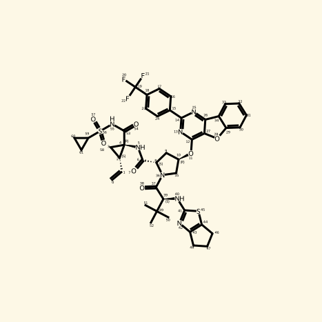 C=C[C@@H]1C[C@]1(NC(=O)[C@@H]1C[C@@H](Oc2nc(-c3ccc(C(F)(F)F)cc3)nc3c2oc2ccccc23)CN1C(=O)[C@@H](Nc1nc2c(s1)CCC2)C(C)(C)C)C(=O)NS(=O)(=O)C1CC1